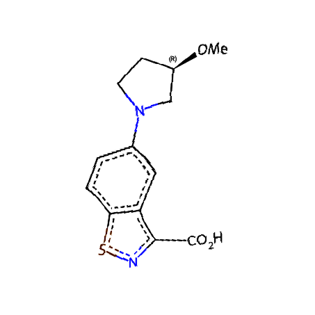 CO[C@@H]1CCN(c2ccc3snc(C(=O)O)c3c2)C1